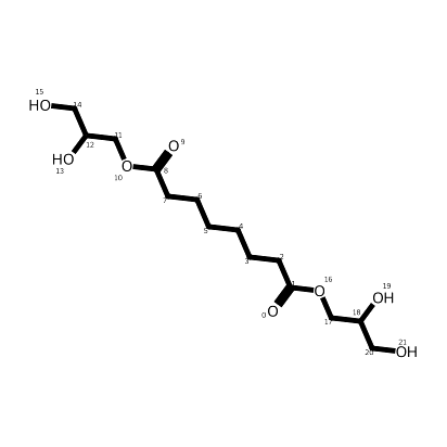 O=C(CCCCCCC(=O)OCC(O)CO)OCC(O)CO